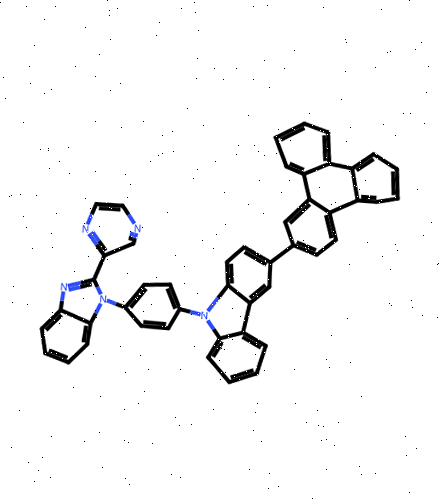 c1ccc2c(c1)nc(-c1cnccn1)n2-c1ccc(-n2c3ccccc3c3cc(-c4ccc5c6ccccc6c6ccccc6c5c4)ccc32)cc1